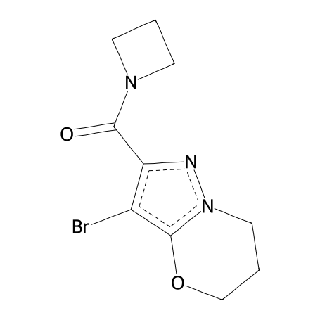 O=C(c1nn2c(c1Br)OCCC2)N1CCC1